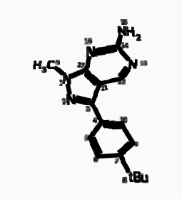 Cn1nc(-c2ccc(C(C)(C)C)cc2)c2cnc(N)nc21